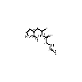 CC(CC1CCNC1=O)NC(=O)CNC=O